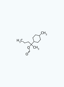 CCCC(C)(OC=O)C1CCC(C)CC1